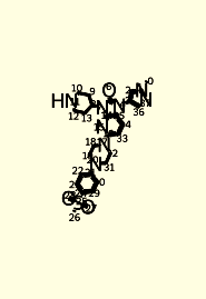 Cn1cc(-n2c(=O)n(C3CCNCC3)c3nc(N4CCN(c5ccc(S(C)(=O)=O)cc5)CC4)ccc32)cn1